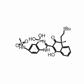 CC(C)(C)CC[C@@]1(C)C(=O)C(C2=NS(O)(O)c3cc(NS(C)(=O)=O)ccc3N2)=C(O)c2ccccc21